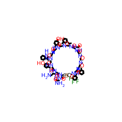 CC(C)[C@@H]1NC(=O)[C@H](CC=O)NC(=O)[C@@H](C)N(C)C(=O)[C@H](C)N(C)C(=O)[C@H](Cc2ccccc2)N(C)C(=O)[C@H](Cc2cc(F)c(F)c(F)c2)NC(=O)CSC[C@@H](C(=O)NCC(N)=O)NC(=O)[C@H](CCCN)NC(=O)[C@H](Cc2ccc(O)cc2)NC(=O)[C@H](Cc2c[nH]c3ccccc23)NC(=O)[C@@H](C)N(C)C(=O)[C@H](Cc2ccc(O)cc2)NC(=O)[C@H](Cc2ccccc2)N(C)C1=O